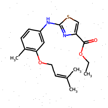 CCOC(=O)c1csc(Nc2ccc(C)c(OCC=C(C)C)c2)n1